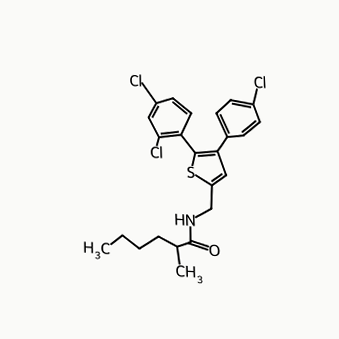 CCCCC(C)C(=O)NCc1cc(-c2ccc(Cl)cc2)c(-c2ccc(Cl)cc2Cl)s1